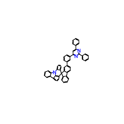 c1ccc(-c2cc(-c3cccc(-c4ccc5c(c4)C4(c6ccccc6-5)c5ccccc5-n5c6ccccc6c6cccc4c65)c3)nc(-c3ccccc3)n2)cc1